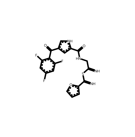 N=C(CNC(=O)c1cc(C(=O)c2c(F)cc(F)cc2F)c[nH]1)SC(=N)c1ccco1